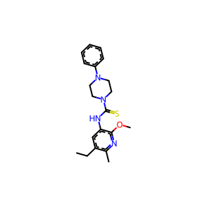 CCc1cc(NC(=S)N2CCN(c3ccccc3)CC2)c(OC)nc1C